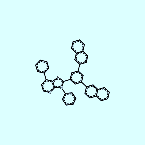 c1ccc(-c2ccnc3c2nc(-c2cc(-c4ccc5ccccc5c4)cc(-c4ccc5ccccc5c4)c2)n3-c2ccccc2)cc1